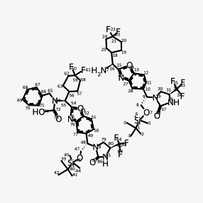 CC(C)(C)[Si](C)(C)OC[C@H](c1ccc2oc([C@@H](N)C3CCC(F)(F)CC3)nc2c1)N1C[C@@H](C(F)(F)F)NC1=O.CC(C)(C)[Si](C)(C)OC[C@H](c1ccc2oc([C@H](C3CCC(F)(F)CC3)N(Cc3ccccc3)C(=O)O)nc2c1)N1C[C@@H](C(F)(F)F)NC1=O